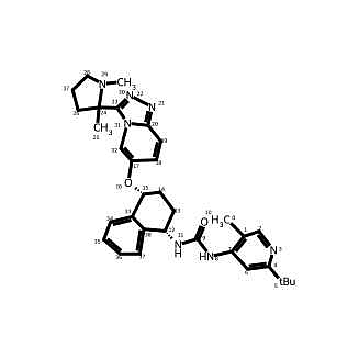 Cc1cnc(C(C)(C)C)cc1NC(=O)N[C@H]1CC[C@@H](Oc2ccc3nnc(C4(C)CCCN4C)n3c2)c2ccccc21